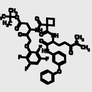 CN(C)C(=O)CCC(NC(=O)C1(C(=O)NC(CC(=O)OC(C)(C)C)C(=O)COc2c(F)c(F)cc(F)c2F)CCC1)C(=O)Nc1cccc(Oc2ccccc2)c1